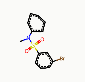 CN(c1ccccc1)S(=O)(=O)c1cccc(Br)c1